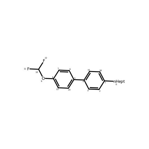 CCCCCCCc1ccc(-c2ccc(OC(F)F)cc2)cc1